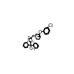 OC(c1ccccc1)(c1ccccc1)c1noc(C[N+]23CCC(CC2)C(Oc2cccc(Cl)c2)C3)n1